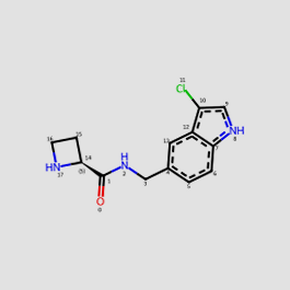 O=C(NCc1ccc2[nH]cc(Cl)c2c1)[C@@H]1CCN1